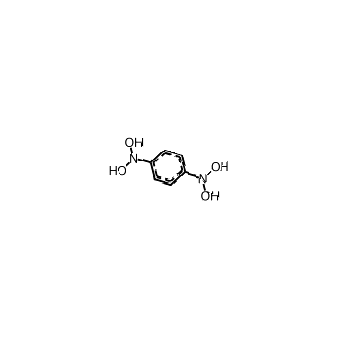 ON(O)c1ccc(N(O)O)cc1